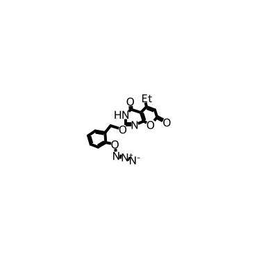 CCc1cc(=O)oc2nc(OCc3ccccc3ON=[N+]=[N-])[nH]c(=O)c12